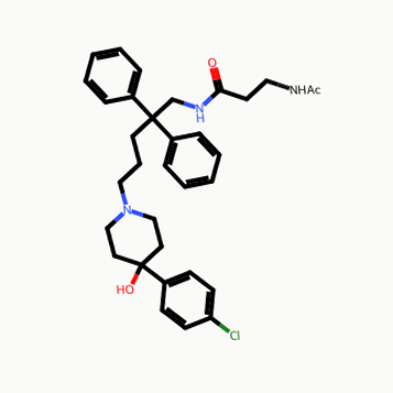 CC(=O)NCCC(=O)NCC(CCCN1CCC(O)(c2ccc(Cl)cc2)CC1)(c1ccccc1)c1ccccc1